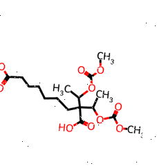 COC(=O)OC(C)C(CCCCCCC(=O)O)(C(=O)O)C(C)OC(=O)OC